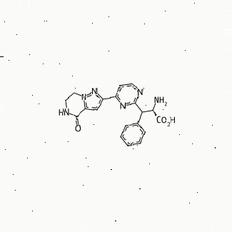 N[C@@H](C(=O)O)C(c1ccccc1)c1nccc(-c2cc3n(n2)CCNC3=O)n1